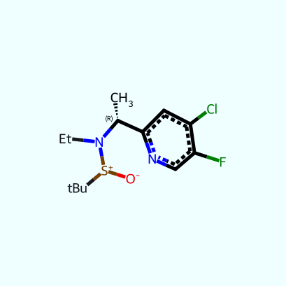 CCN([C@H](C)c1cc(Cl)c(F)cn1)[S+]([O-])C(C)(C)C